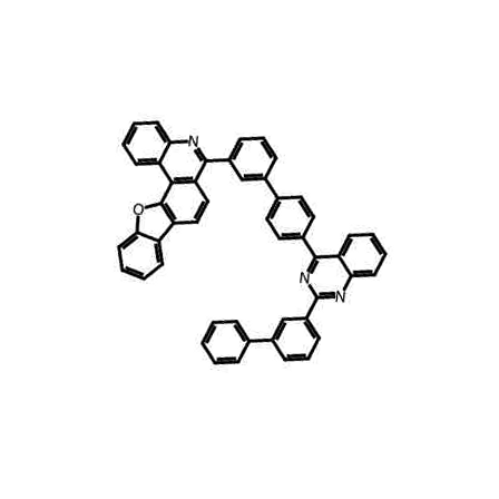 c1ccc(-c2cccc(-c3nc(-c4ccc(-c5cccc(-c6nc7ccccc7c7c6ccc6c8ccccc8oc67)c5)cc4)c4ccccc4n3)c2)cc1